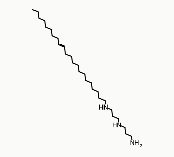 CCCCCCCCC=CCCCCCCCCCCCCNCCCNCCCN